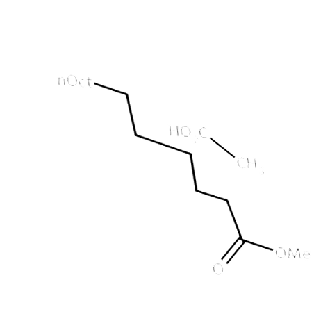 CC(=O)O.CCCCCCCCCCCCCC(=O)OC